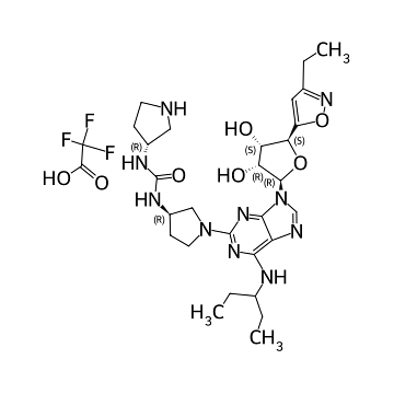 CCc1cc([C@H]2O[C@@H](n3cnc4c(NC(CC)CC)nc(N5CC[C@@H](NC(=O)N[C@@H]6CCNC6)C5)nc43)[C@H](O)[C@@H]2O)on1.O=C(O)C(F)(F)F